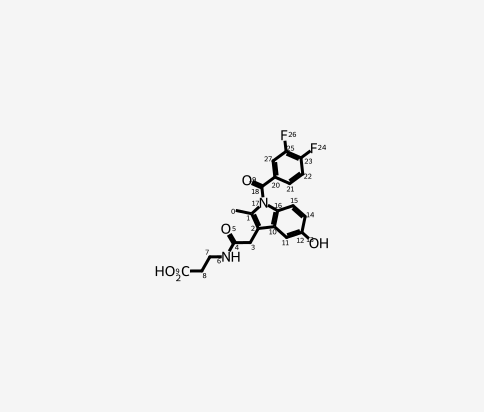 Cc1c(CC(=O)NCCC(=O)O)c2cc(O)ccc2n1C(=O)c1ccc(F)c(F)c1